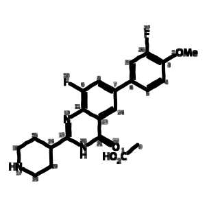 CC(=O)O.COc1ccc(-c2cc(F)c3nc(C4CCNCC4)[nH]c(=O)c3c2)cc1F